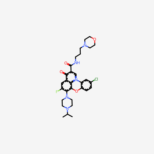 CC(C)N1CCN(c2c(F)cc3c(=O)c(C(=O)NCCCN4CCOCC4)cn4c3c2Oc2ccc(Cl)cc2-4)CC1